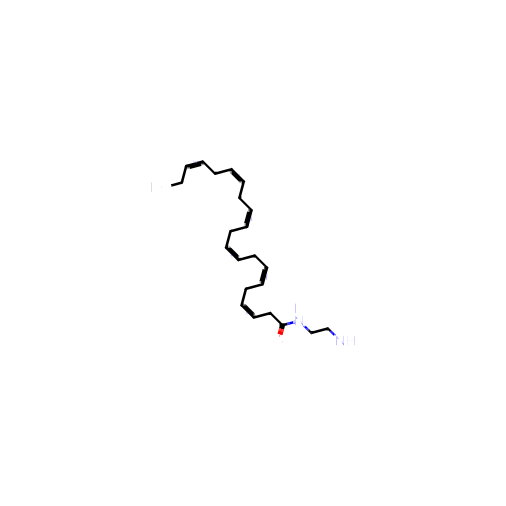 CC/C=C\C/C=C\C/C=C\C/C=C\C/C=C\C/C=C\CC(=O)NCCN